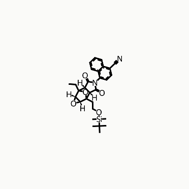 CCC12OC(CCO[Si](C)(C)C(C)(C)C)([C@@H]3O[C@@H]31)[C@H]1C(=O)N(c3ccc(C#N)c4ccccc34)C(=O)[C@H]12